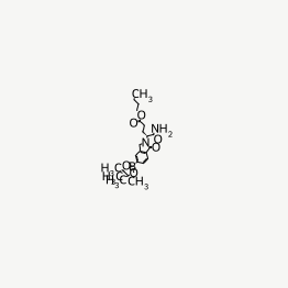 CCCCOC(=O)CC[C@@H](C(N)=O)N1Cc2cc(B3OC(C)(C)C(C)(C)O3)ccc2C1=O